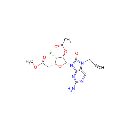 C#CCn1c(=O)n([C@@H]2O[C@H](CC(=O)OC)[C@H](F)[C@H]2OC(C)=O)c2nc(N)ncc21